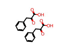 O=C(O)C(=O)Cc1ccccc1.O=C(O)C(=O)Cc1ccccc1